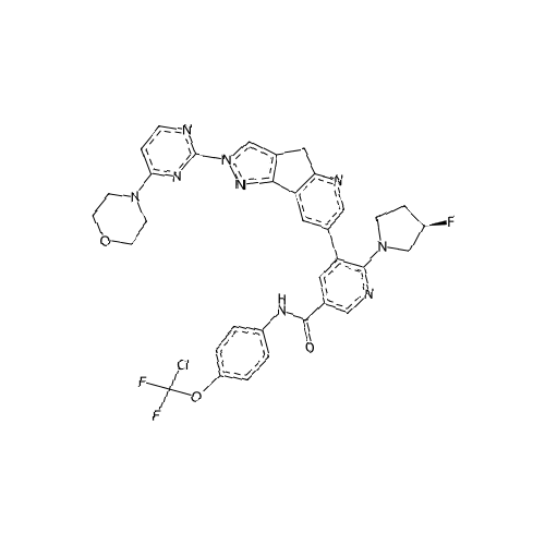 O=C(Nc1ccc(OC(F)(F)Cl)cc1)c1cnc(N2CC[C@@H](F)C2)c(-c2cnc3c(c2)-c2nn(-c4nccc(N5CCOCC5)n4)cc2C3)c1